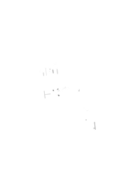 [Li][CH2]C=CCC(=N)CCCCC